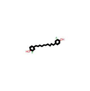 Oc1ccc(CCCCCCCCCCc2ccc(O)c(F)c2)cc1F